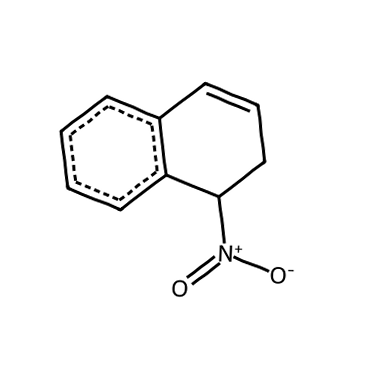 O=[N+]([O-])C1CC=Cc2ccccc21